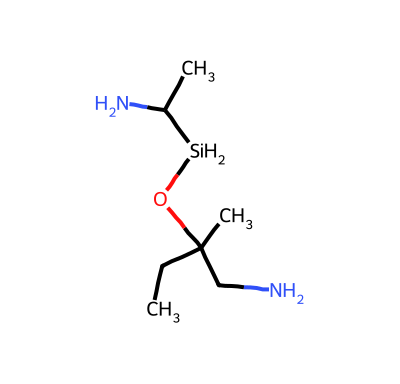 CCC(C)(CN)O[SiH2]C(C)N